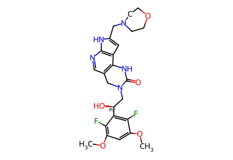 COc1cc(OC)c(F)c([C@@H](O)CN2Cc3cnc4[nH]c(CN5CCOCC5)cc4c3NC2=O)c1F